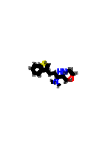 CN(C)C(CCc1csc2ccccc12)C1COCCN1